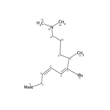 CCC(C)/C(=C/C=C\CNC)C(C)CCCN(C)C